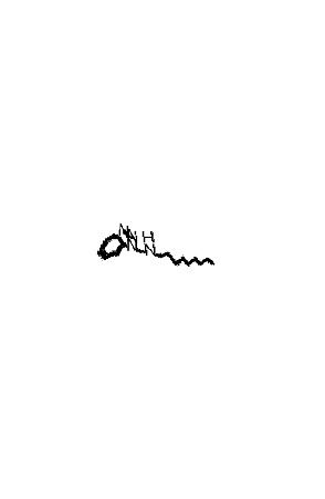 CCCCCCCCCNCn1nnc2ccccc21